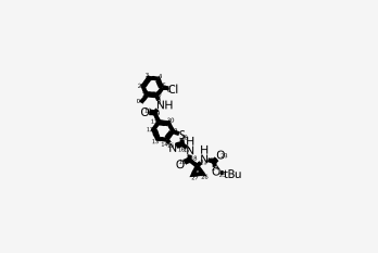 Cc1cccc(Cl)c1NC(=O)c1ccc2nc(NC(=O)C3(NC(=O)OC(C)(C)C)CC3)sc2c1